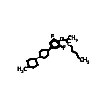 CCCCCCC(C)Oc1c(F)cc(C2CCC([C@H]3CC[C@H](C)CC3)CC2)cc1F